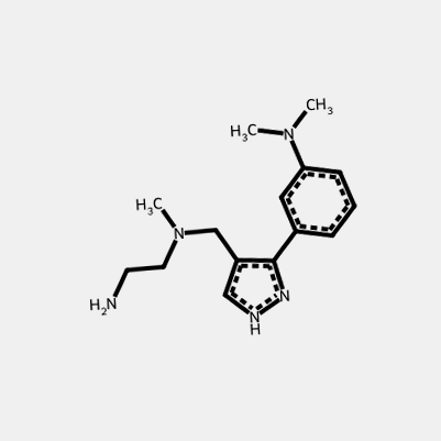 CN(CCN)Cc1c[nH]nc1-c1cccc(N(C)C)c1